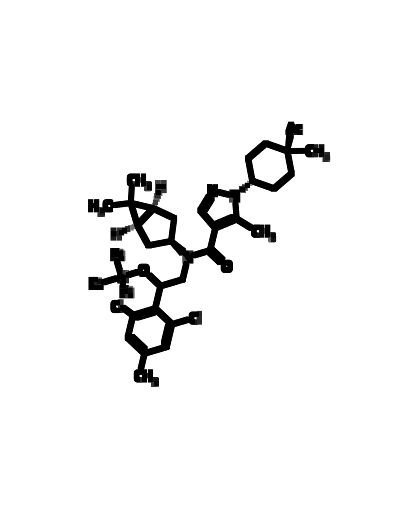 CC[Si](CC)(CC)OC(CN(C(=O)c1cnn([C@H]2CC[C@](C)(C(C)=O)CC2)c1C)[C@H]1C[C@@H]2[C@H](C1)C2(C)C)c1c(Cl)cc(C)cc1Cl